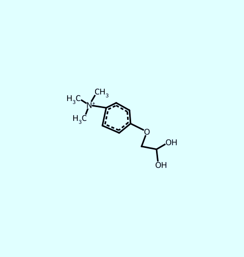 C[N+](C)(C)c1ccc(OCC(O)O)cc1